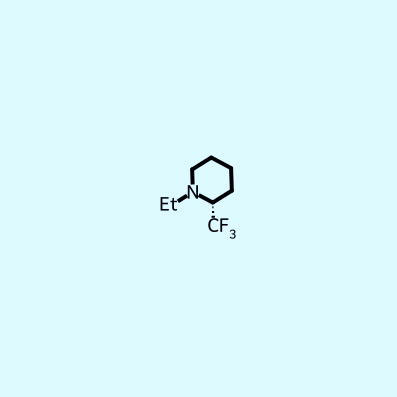 CCN1CCCC[C@@H]1C(F)(F)F